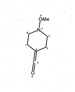 CON1CCC(=C=O)CC1